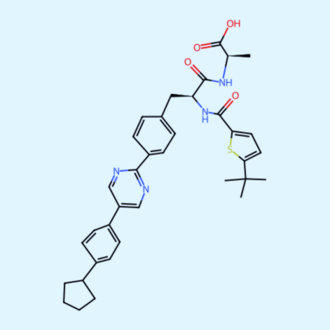 C[C@@H](NC(=O)[C@H](Cc1ccc(-c2ncc(-c3ccc(C4CCCC4)cc3)cn2)cc1)NC(=O)c1ccc(C(C)(C)C)s1)C(=O)O